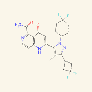 Cc1c(C2CC(F)(F)C2)nn(C2CCC(F)(F)CC2)c1-c1cc(=O)c2c(C(N)=O)nccc2[nH]1